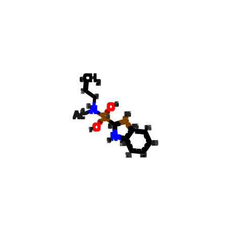 C=CCN(C(C)=O)S(=O)(=O)c1nc2ccccc2s1